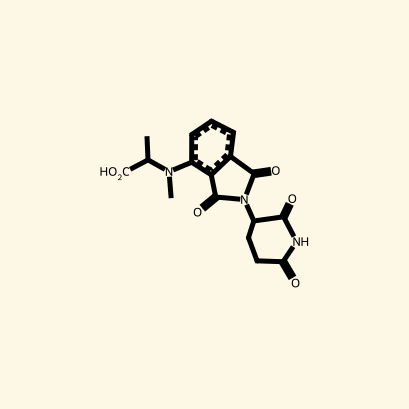 CC(C(=O)O)N(C)c1cccc2c1C(=O)N(C1CCC(=O)NC1=O)C2=O